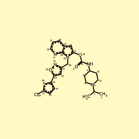 CC(C)N1CCC(NC(=O)Oc2cc3cccnc3n2Cc2cc(-c3ccc(Cl)s3)on2)CC1